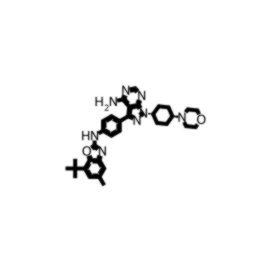 Cc1cc(C(C)(C)C)c2oc(Nc3ccc(-c4nn([C@H]5CC[C@H](N6CCOCC6)CC5)c5ncnc(N)c45)cc3)nc2c1